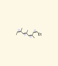 C\C=C(C)/C=C(C)/C=C(C)\C=C/CC